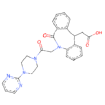 O=C(O)CC1c2ccccc2C(=O)N(CC(=O)N2CCN(c3ncccn3)CC2)c2ccccc21